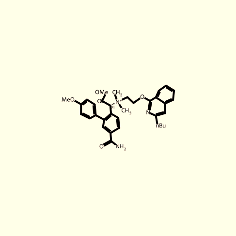 CCCCc1cc2ccccc2c(OCC[N+](C)(C)[C@@H](C(=O)OC)c2ccc(C(N)=O)cc2-c2ccc(OC)cc2)n1